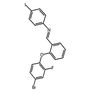 Fc1cc(Br)ccc1Oc1ccccc1/C=N/c1ccc(I)cc1